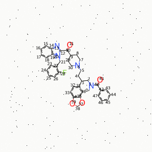 CN(CC(CCN1CCC(C(=O)c2nc3ccccc3n2Cc2ccccc2F)CC1)c1ccc2c(c1)OCO2)C(=O)c1ccccc1